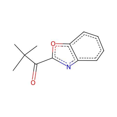 CC(C)(C)C(=O)c1nc2ccccc2o1